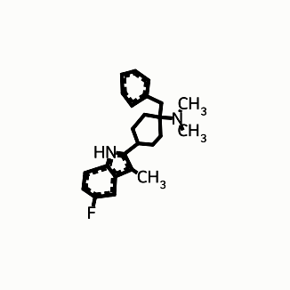 Cc1c(C2CCC(Cc3ccccc3)(N(C)C)CC2)[nH]c2ccc(F)cc12